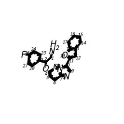 NCC(Oc1ccc2ncc(-c3cc4ccccc4o3)n2n1)c1ccc(F)cc1